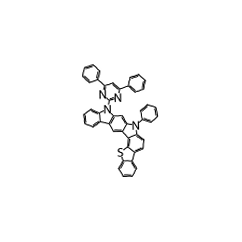 c1ccc(-c2cc(-c3ccccc3)nc(-n3c4ccccc4c4cc5c6c7sc8ccccc8c7ccc6n(-c6ccccc6)c5cc43)n2)cc1